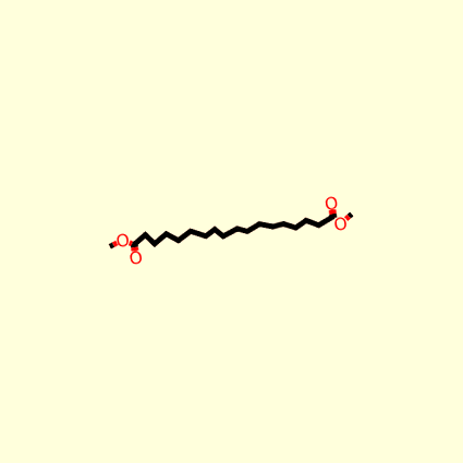 COC(=O)CCCCCCCCCCCCCCCCC(=O)OC